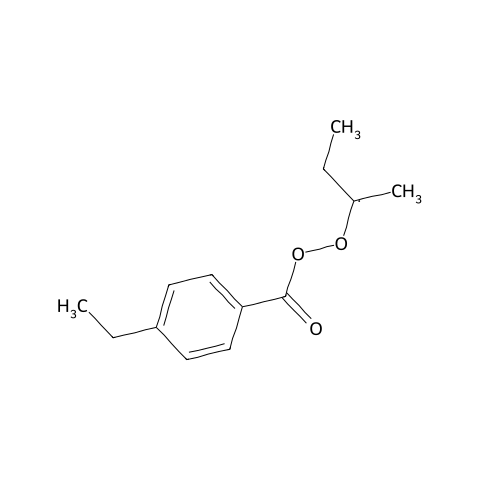 CC[C](C)OOC(=O)c1ccc(CC)cc1